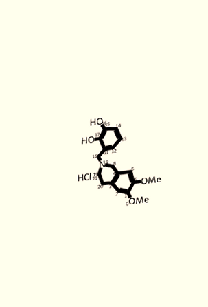 COc1cc2c(cc1OC)CN(Cc1cccc(O)c1O)CC2.Cl